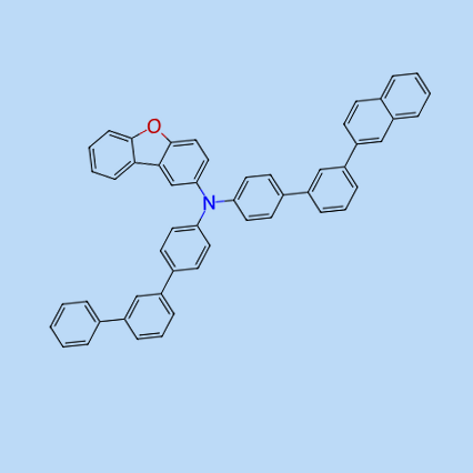 c1ccc(-c2cccc(-c3ccc(N(c4ccc(-c5cccc(-c6ccc7ccccc7c6)c5)cc4)c4ccc5oc6ccccc6c5c4)cc3)c2)cc1